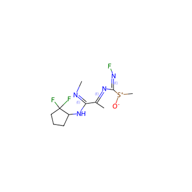 C\N=C(NC1CCCC1(F)F)/C(C)=N/C(=N\F)[S+](C)[O-]